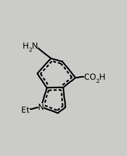 CCn1ccc2c(C(=O)O)cc(N)cc21